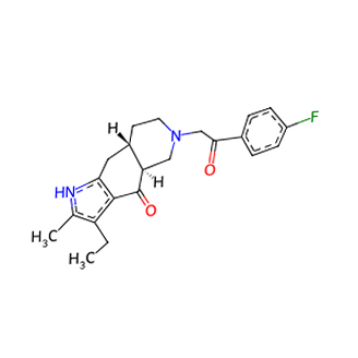 CCc1c(C)[nH]c2c1C(=O)[C@@H]1CN(CC(=O)c3ccc(F)cc3)CC[C@H]1C2